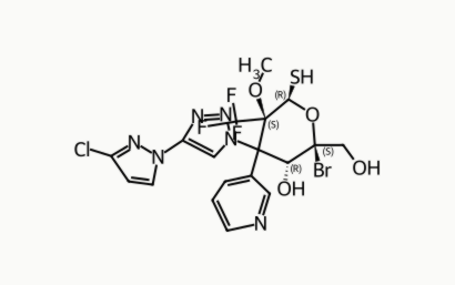 CO[C@@]1(C(F)(F)F)[C@@H](S)O[C@](Br)(CO)[C@H](O)C1(c1cccnc1)n1cc(-n2ccc(Cl)n2)nn1